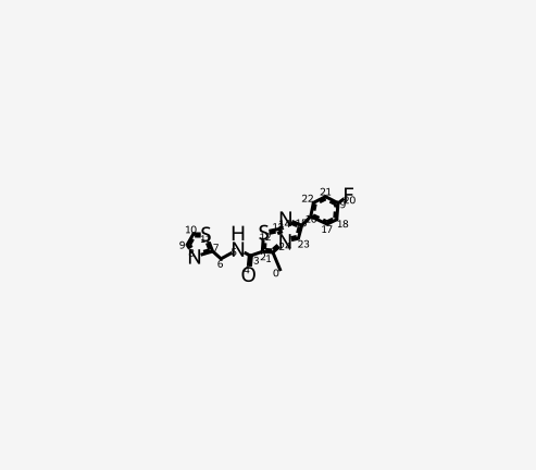 Cc1c(C(=O)NCc2nccs2)sc2nc(-c3ccc(F)cc3)cn12